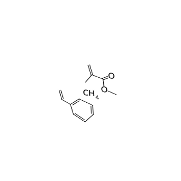 C.C=C(C)C(=O)OC.C=Cc1ccccc1